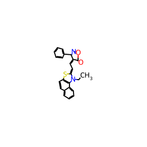 CCN1/C(=C/C=C2\C(=O)ON=C2c2ccccc2)Sc2ccc3ccccc3c21